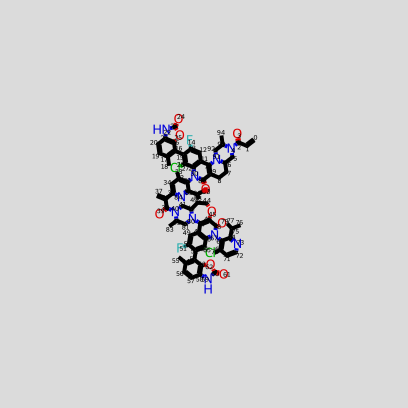 C=CC(=O)N1CC2CCc3c(c4cc(F)c(-c5c(C)ccc6[nH]c(=O)oc56)c(Cl)c4n(-c4c(C)cc(C(=C)C(=O)N5CC6CCOc7c(c8cc(F)c(-c9c(C)ccc%10[nH]c(=O)oc9%10)c(Cl)c8n(-c8c(C)ccnc8C(C)C)c7=O)N6CC5C)nc4C(C)C)c3=O)N2CC1C